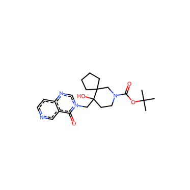 CC(C)(C)OC(=O)N1CCC(O)(Cn2cnc3ccncc3c2=O)C2(CCCC2)C1